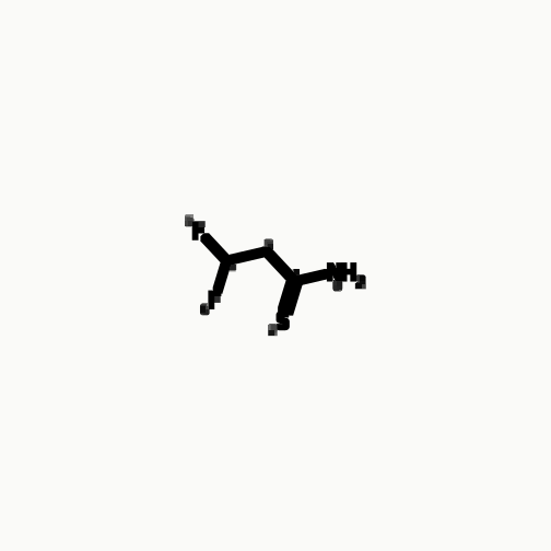 NC(=S)CC(F)F